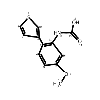 COc1ccc(-c2ccsc2)c(NC(=O)O)c1